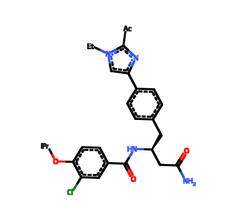 CCn1cc(-c2ccc(C[C@@H](CC(N)=O)NC(=O)c3ccc(OC(C)C)c(Cl)c3)cc2)nc1C(C)=O